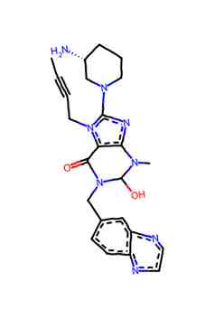 CC#CCn1c(N2CCC[C@@H](N)C2)nc2c1C(=O)N(Cc1ccc3nccnc3c1)C(O)N2C